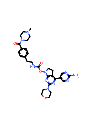 CN1CCN(C(=O)c2ccc(CCNC(=O)ON3CCc4c(-c5cnc(N)nc5)nc(N5CCOCC5)nc43)cc2)CC1